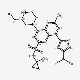 Cc1nc(-c2nnc(C(F)F)s2)c2cc(S(=O)(=O)NC3(C)CC3)cc(N3CCN[C@@H](CO)C3)c2n1